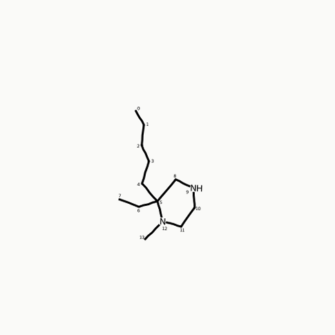 CCCCCC1(CC)CNCCN1C